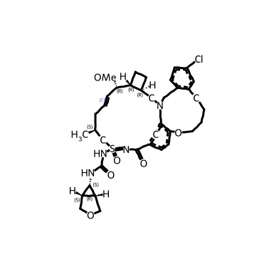 CO[C@H]1/C=C/C[C@H](C)CS(=O)(NC(=O)N[C@@H]2[C@@H]3COC[C@@H]32)=NC(=O)c2ccc3c(c2)N(Cc2ccc(Cl)cc2CCCCO3)C[C@@H]2CC[C@H]21